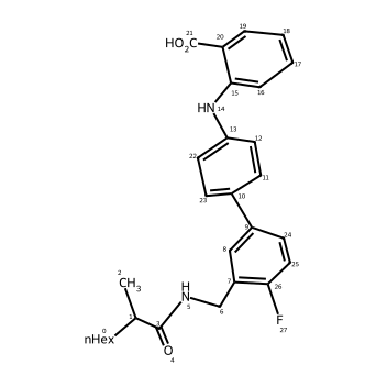 CCCCCCC(C)C(=O)NCc1cc(-c2ccc(Nc3ccccc3C(=O)O)cc2)ccc1F